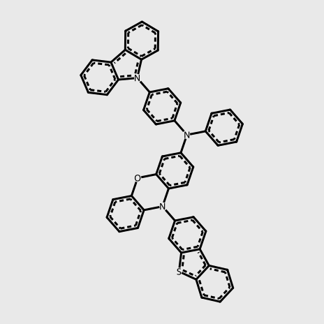 c1ccc(N(c2ccc(-n3c4ccccc4c4ccccc43)cc2)c2ccc3c(c2)Oc2ccccc2N3c2ccc3c(c2)sc2ccccc23)cc1